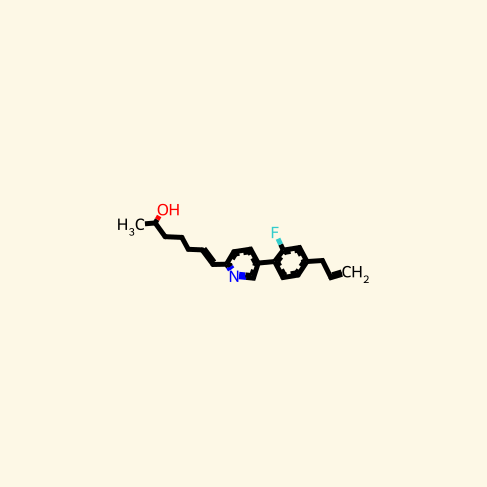 C=CCc1ccc(-c2ccc(C=CCCCC(C)O)nc2)c(F)c1